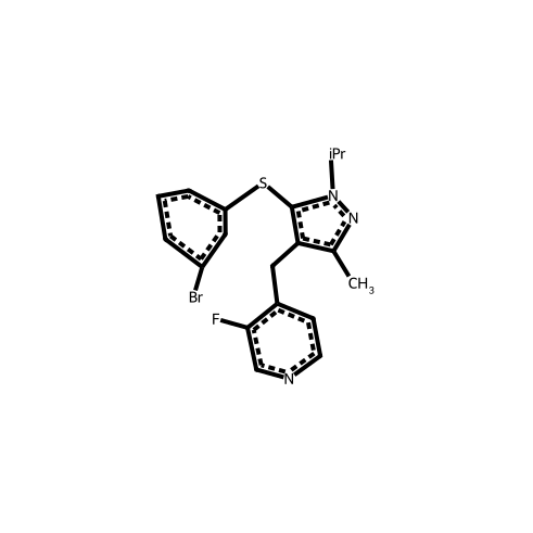 Cc1nn(C(C)C)c(Sc2cccc(Br)c2)c1Cc1ccncc1F